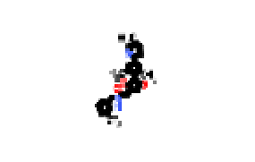 Cc1ccc(-c2cc(C)c(C3C(=O)CC(CC(=O)NCc4cccc(C(F)(F)F)c4)C3=O)c(C)c2)nc1